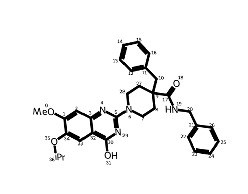 COc1cc2nc(N3CCC(Cc4ccccc4)(C(=O)NCc4ccccc4)CC3)nc(O)c2cc1OC(C)C